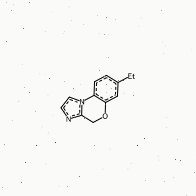 CCc1ccc2c(c1)OCc1nccn1-2